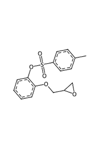 Cc1ccc(S(=O)(=O)Oc2ccccc2OCC2CO2)cc1